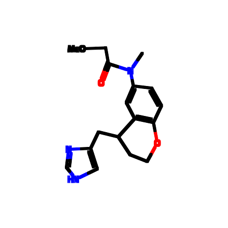 COCC(=O)N(C)c1ccc2c(c1)C(Cc1c[nH]cn1)CCO2